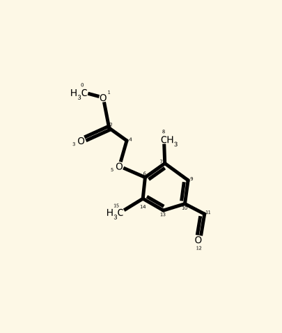 COC(=O)COc1c(C)cc(C=O)cc1C